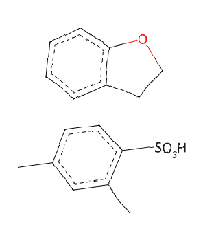 Cc1ccc(S(=O)(=O)O)c(C)c1.c1ccc2c(c1)CCO2